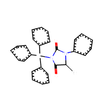 CCC1C(=O)N([Si](c2ccccc2)(c2ccccc2)c2ccccc2)C(=O)N1c1ccccc1